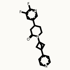 O=C1CC(c2cnc(F)c(F)c2)CCN1C12CC(c3ccncc3)(C1)C2